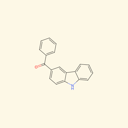 O=C(c1ccccc1)c1ccc2[nH]c3ccccc3c2c1